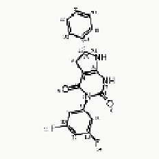 O=c1[nH]c2c(c(=O)n1-c1cc(F)cc(F)c1)C[C@H](c1ccccc1)N2